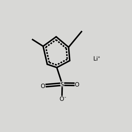 Cc1cc(C)cc(S(=O)(=O)[O-])c1.[Li+]